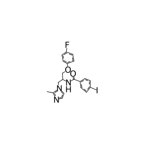 Cc1nccn1CC(COc1ccc(F)cc1)NC(=O)c1ccc(I)cc1